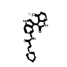 C=C1C=CN=C2NC(=O)C(c3c[nH]c4ccc(NC(=O)CCN5CCCCC5)cc34)C12